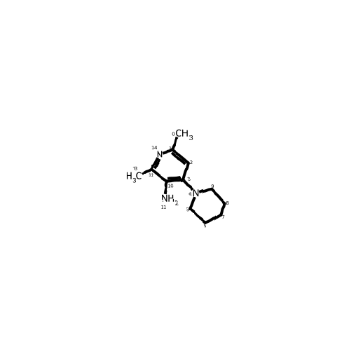 Cc1cc(N2CCCCC2)c(N)c(C)n1